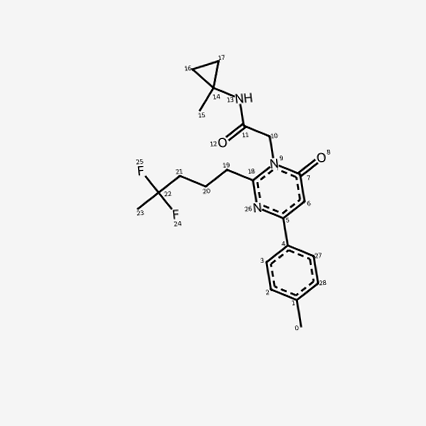 Cc1ccc(-c2cc(=O)n(CC(=O)NC3(C)CC3)c(CCCC(C)(F)F)n2)cc1